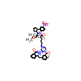 COCC(C)(C)C1C2CC=CC2c2cc([N+](=O)[O-])ccc2N1C(=O)CCCCCN1CCN(C(=O)c2cc(Cc3n[nH]c(=O)c4ccccc34)ccc2F)CC1